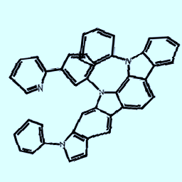 c1ccc(-n2ccc3cc4c5ccc6c7ccccc7n(-c7ccccc7)c6c5n(-c5cccc(-c6ccccn6)c5)c4cc32)cc1